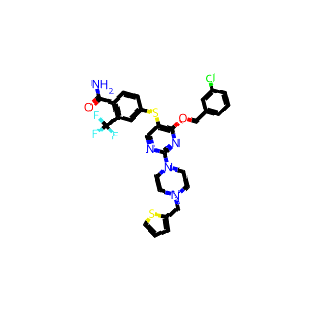 NC(=O)c1ccc(Sc2cnc(N3CCN(Cc4cccs4)CC3)nc2OCc2cccc(Cl)c2)cc1C(F)(F)F